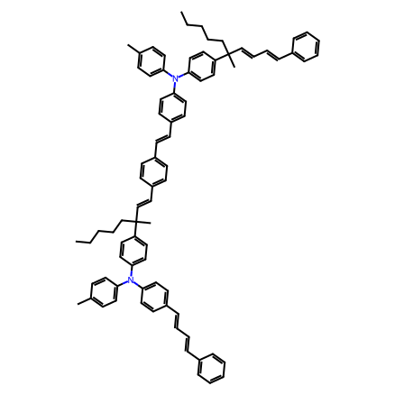 CCCCCC(C)(C=CC=Cc1ccccc1)c1ccc(N(c2ccc(C)cc2)c2ccc(C=Cc3ccc(C=CC(C)(CCCCC)c4ccc(N(c5ccc(C)cc5)c5ccc(C=CC=Cc6ccccc6)cc5)cc4)cc3)cc2)cc1